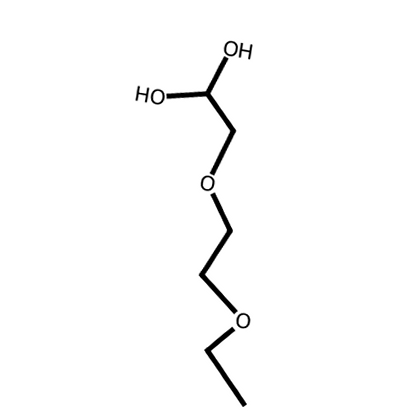 CCOCCOCC(O)O